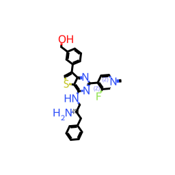 C=N/C=C\C(=C(/C)F)c1nc(NC[C@@H](N)Cc2ccccc2)c2scc(-c3cccc(CO)c3)c2n1